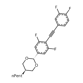 CCCCC[C@H]1CO[C@H](c2cc(F)c(C#Cc3ccc(F)c(F)c3)c(F)c2)OC1